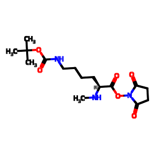 CN[C@@H](CCCCNC(=O)OC(C)(C)C)C(=O)ON1C(=O)CCC1=O